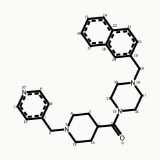 O=C(C1CCN(Cc2ccncc2)CC1)N1CCN(Cc2ccc3ccccc3c2)CC1